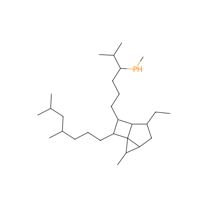 CCC1CC2C(C)C23C(CCCC(C)CC(C)C)C(CCCC(PC)C(C)C)C13